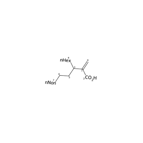 C=C(C(=O)O)C(CCCCCC)CCCCCCCCCCC